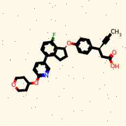 CC#C[C@@H](CC(=O)O)c1ccc(O[C@@H]2CCc3c(-c4ccc(OC5CCOCC5)nc4)ccc(F)c32)cc1